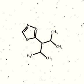 CC(C)N(c1nn[c]s1)C(C)C